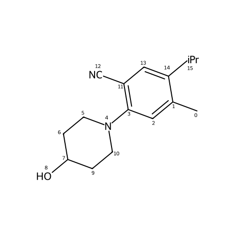 Cc1cc(N2CCC(O)CC2)c(C#N)cc1C(C)C